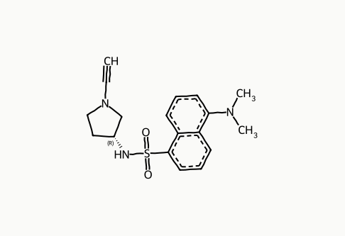 C#CN1CC[C@@H](NS(=O)(=O)c2cccc3c(N(C)C)cccc23)C1